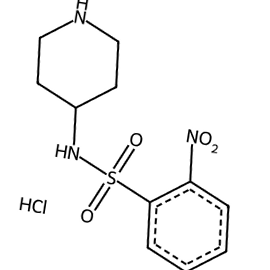 Cl.O=[N+]([O-])c1ccccc1S(=O)(=O)NC1CCNCC1